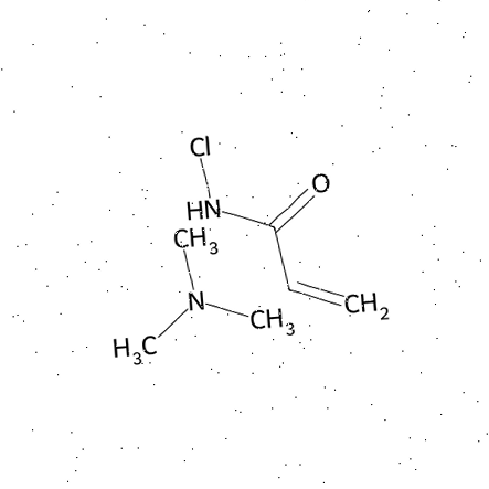 C=CC(=O)NCl.CN(C)C